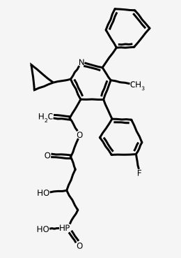 C=C(OC(=O)CC(O)C[PH](=O)O)c1c(C2CC2)nc(-c2ccccc2)c(C)c1-c1ccc(F)cc1